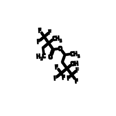 CCC(C)(C(=O)OC(C)CC(O)(C(F)(F)F)C(F)(F)F)C(F)(F)F